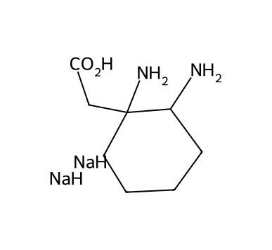 NC1CCCCC1(N)CC(=O)O.[NaH].[NaH]